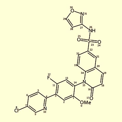 COc1cc(-c2ccc(Cl)cn2)c(F)cc1-n1c(=O)ccc2cc(S(=O)(=O)Nc3ccon3)ccc21